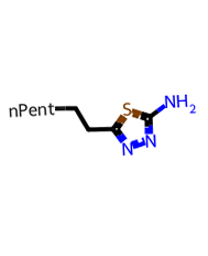 CCCCCCCc1nnc(N)s1